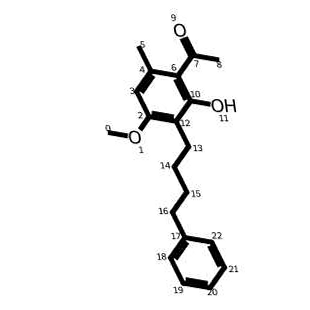 COc1cc(C)c(C(C)=O)c(O)c1CCCCc1ccccc1